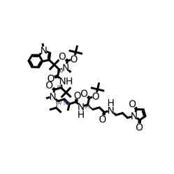 C/C(=C\[C@H](C(C)C)N(C)C(=O)[C@@H](NC(=O)[C@@H](N(C)C(=O)OC(C)(C)C)C(C)(C)c1cn(C)c2ccccc12)C(C)(C)C)C(=O)N[C@H](CCC(=O)NCCCN1C(=O)C=CC1=O)C(=O)OC(C)(C)C